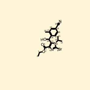 CCOC(=O)c1nc(Br)n(C(C)C)c1C(O)c1ccc(C#N)cc1C